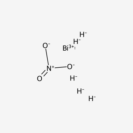 O=[N+]([O-])[O-].[Bi+3].[H-].[H-].[H-].[H-].[H-]